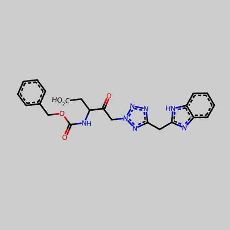 O=C(O)CC(NC(=O)OCc1ccccc1)C(=O)Cn1nnc(Cc2nc3ccccc3[nH]2)n1